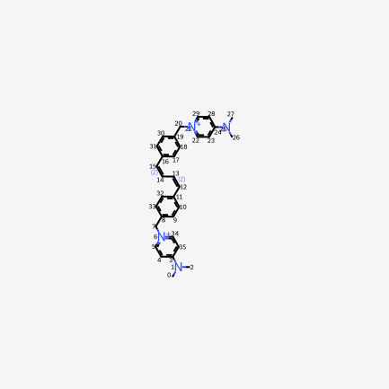 CN(C)c1cc[n+](Cc2ccc(/C=C\C=C/c3ccc(C[n+]4ccc(N(C)C)cc4)cc3)cc2)cc1